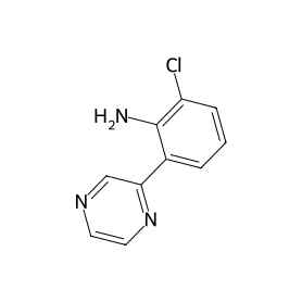 Nc1c(Cl)cccc1-c1cnccn1